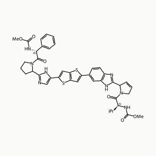 COC(=O)N[C@H](C(=O)N1CC=CC1c1nc2ccc(-c3cc4sc(-c5cnc(C6CCCN6C(=O)[C@H](NC(=O)OC)c6ccccc6)[nH]5)cc4s3)cc2[nH]1)C(C)C